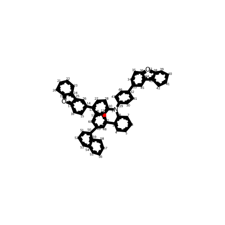 c1cc(-c2ccccc2N(c2ccc(-c3ccc4oc5ccccc5c4c3)cc2)c2ccc(-c3ccc4oc5ccccc5c4c3)cc2)cc(-c2cccc3ccccc23)c1